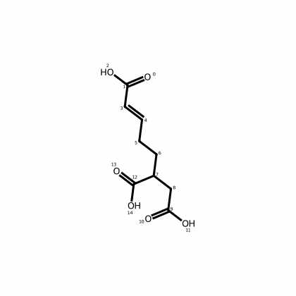 O=C(O)C=CCCC(CC(=O)O)C(=O)O